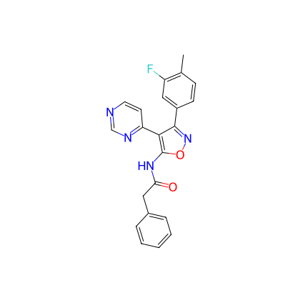 Cc1ccc(-c2noc(NC(=O)Cc3ccccc3)c2-c2ccncn2)cc1F